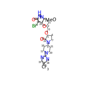 COCC(CO[C@@H]1CCN(C2CCN(c3ncc(C(F)(F)F)cn3)CC2)C1=O)Oc1cn[nH]c(=O)c1Br